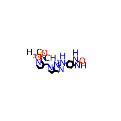 CN(c1ncccc1Cn1ccc2cnc(Nc3ccc4[nH]c(=O)[nH]c4c3)nc21)S(C)(=O)=O